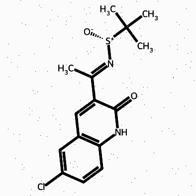 C/C(=N\[S@+]([O-])C(C)(C)C)c1cc2cc(Cl)ccc2[nH]c1=O